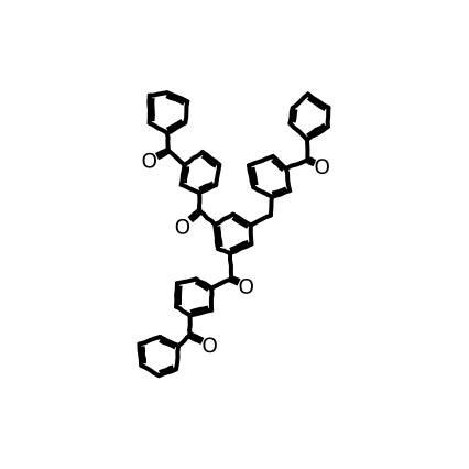 O=C(c1ccccc1)c1cccc(Cc2cc(C(=O)c3cccc(C(=O)c4ccccc4)c3)cc(C(=O)c3cccc(C(=O)c4ccccc4)c3)c2)c1